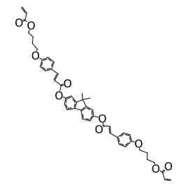 C=CC(=O)OCCCCOc1ccc(C=CC(=O)Oc2ccc3c(c2)C(C)(C)c2cc(OC(=O)C=Cc4ccc(OCCCCOC(=O)C=C)cc4)ccc2-3)cc1